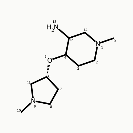 CN1CCC(O[C@@H]2CCN(C)C2)C(N)C1